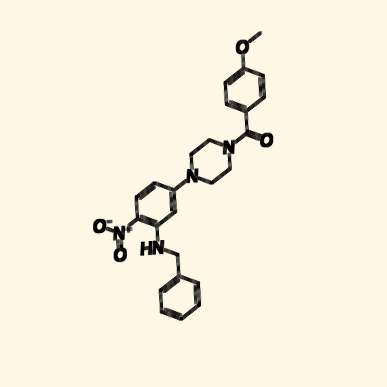 COc1ccc(C(=O)N2CCN(c3ccc([N+](=O)[O-])c(NCc4ccccc4)c3)CC2)cc1